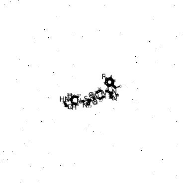 C[C@H](c1ccc(F)cc1)n1cncc1CN1CCN(S(=O)(=O)c2cnc(N3CC[C@@H]4NCCO[C@H]4C3)s2)CC1